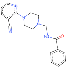 N#Cc1cccnc1N1CCN(CNC(=O)c2ccccc2)CC1